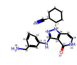 N#C[C@H]1CCCC[C@@H]1n1nc(Nc2cccc(CN)c2)c2c(=O)[nH]ccc21